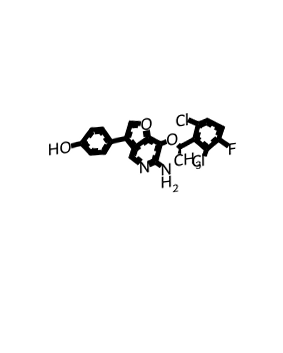 C[C@@H](Oc1c(N)ncc2c(-c3ccc(O)cc3)coc12)c1c(Cl)ccc(F)c1Cl